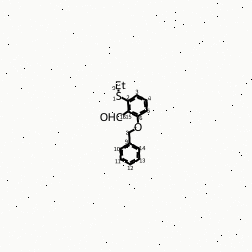 CCSc1cccc(OCc2ccccc2)c1C=O